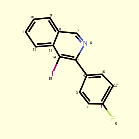 Fc1ccc(-c2ncc3ccccc3c2I)cc1